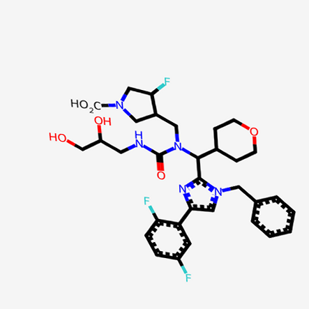 O=C(O)N1CC(F)C(CN(C(=O)NCC(O)CO)C(c2nc(-c3cc(F)ccc3F)cn2Cc2ccccc2)C2CCOCC2)C1